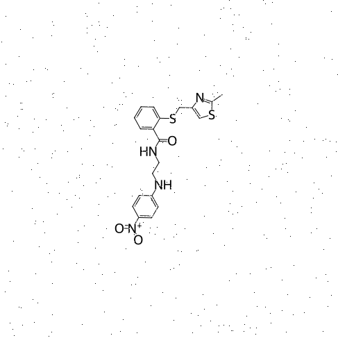 Cc1nc(CSc2ccccc2C(=O)NCCNc2ccc([N+](=O)[O-])cc2)cs1